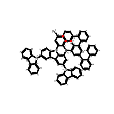 CC(C)c1cc2c3c(c1)-n1c4ccc(-n5c6ccccc6c6ccccc65)cc4c4cc(-n5c6ccccc6c6ccccc65)cc(c41)B3c1cc(-c3ccccc3-c3ccccc3)cc(-c3ccccc3-c3ccccc3)c1O2